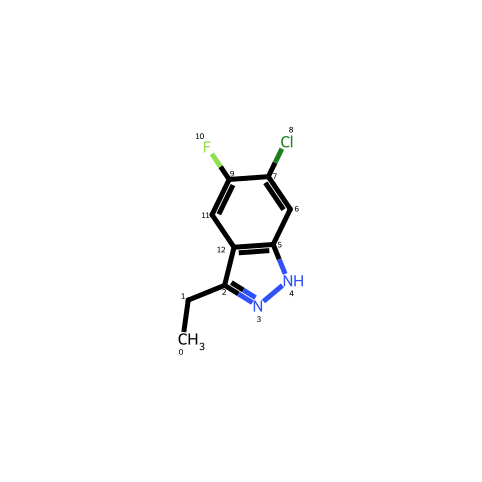 CCc1n[nH]c2cc(Cl)c(F)cc12